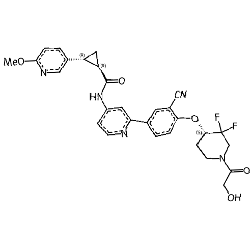 COc1ccc([C@@H]2C[C@H]2C(=O)Nc2ccnc(-c3ccc(O[C@H]4CCN(C(=O)CO)CC4(F)F)c(C#N)c3)c2)cn1